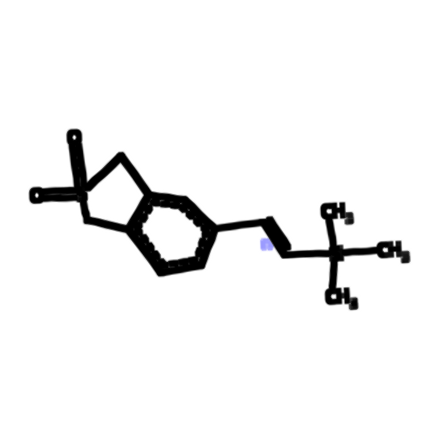 C[Si](C)(C)/C=C/c1ccc2c(c1)CS(=O)(=O)C2